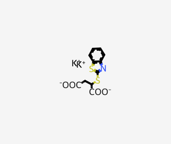 O=C([O-])CC(Sc1nc2ccccc2s1)C(=O)[O-].[K+].[K+]